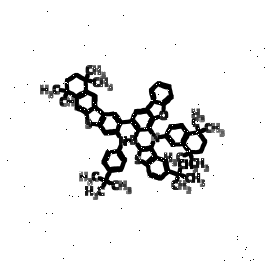 CC(C)(C)c1ccc(N2B3c4sc5ccc(C(C)(C)C)cc5c4N(c4ccc5c(c4)C(C)(C)CCC5(C)C)c4c3c(cc3c4oc4ccccc43)-c3cc4c(cc32)sc2cc3c(cc24)C(C)(C)CCC3(C)C)cc1